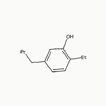 CCc1ccc(CC(C)C)cc1O